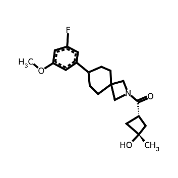 COc1cc(F)cc(C2CCC3(CC2)CN(C(=O)[C@H]2C[C@@](C)(O)C2)C3)c1